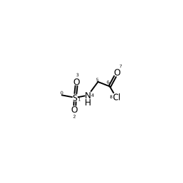 CS(=O)(=O)NCC(=O)Cl